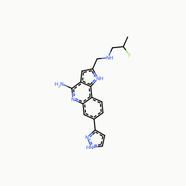 CC(F)CNCc1cc2c(N)nc3cc(-c4cc[nH]n4)ccc3c2[nH]1